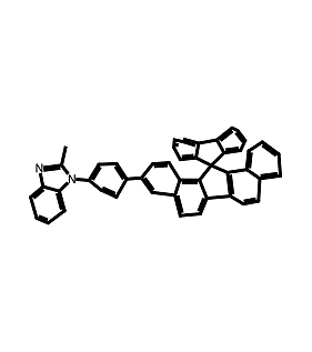 Cc1nc2ccccc2n1-c1ccc(-c2ccc3c4c(ccc3c2)-c2ccc3ccccc3c2C42c3ccccc3-c3ccccc32)cc1